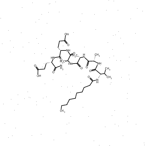 CCCCCCCCCC(=O)N[C@H](C(=O)N[C@@H](C)C(=O)N[C@@H](C)C(=O)N[C@@H](C)C(=O)N[C@@H](CCC(=O)O)C(=O)N[C@@H](CCC(=O)O)C(N)=O)C(C)C